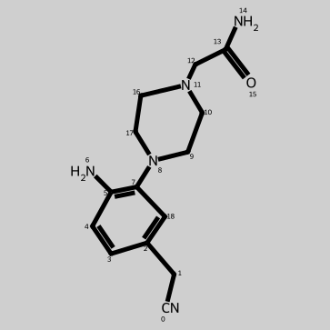 N#CCc1ccc(N)c(N2CCN(CC(N)=O)CC2)c1